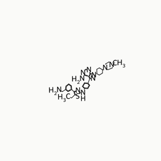 CCc1sc(Nc2ccc(-c3nn([C@H]4CC[C@@H](N5CCN(C)CC5)CC4)c4ncnc(N)c34)cc2)nc1-c1cccc(CN)c1